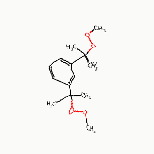 COOC(C)(C)c1cccc(C(C)(C)OOC)c1